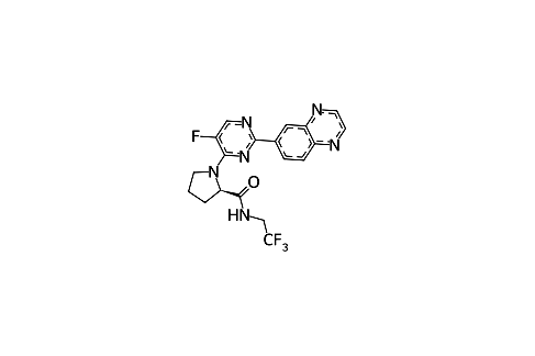 O=C(NCC(F)(F)F)[C@H]1CCCN1c1nc(-c2ccc3nccnc3c2)ncc1F